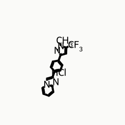 Cl.Cn1nc(-c2ccc(-c3cn4ccccc4n3)cc2)cc1C(F)(F)F